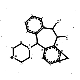 ClC1c2ccccc2C(N2CCNCC2)c2ccc3c(c2C1Cl)C3